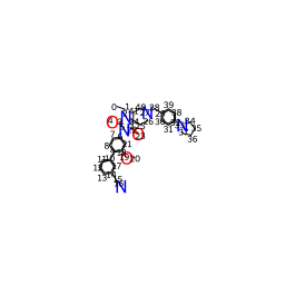 CCN1C(=O)N(c2ccc(-c3cccc(C#N)c3)c(OC)c2)C(=O)C12CCN(Cc1ccc(N3CCCC3)cc1)CC2